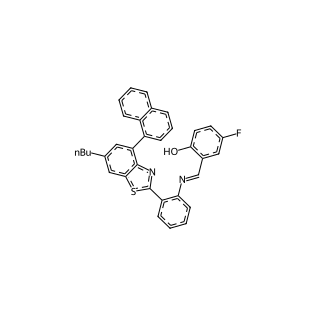 CCCCc1cc(-c2cccc3ccccc23)c2nc(-c3ccccc3/N=C/c3cc(F)ccc3O)sc2c1